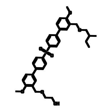 CCC(C)COCc1cc(-c2ccc(S(=O)(=O)c3ccc(-c4ccc(OC)c(COCCO)c4)cc3)cc2)ccc1OC